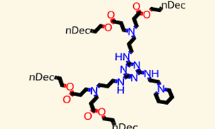 CCCCCCCCCCCCOC(=O)CCN(CCCNc1nc(NCCCN(CCC(=O)OCCCCCCCCCCCC)CCC(=O)OCCCCCCCCCCCC)nc(NCCN2CCCCC2)n1)CCC(=O)OCCCCCCCCCCCC